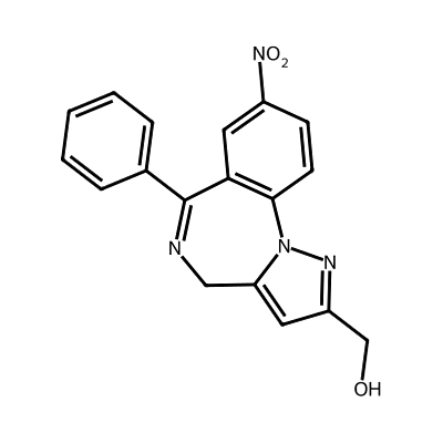 O=[N+]([O-])c1ccc2c(c1)C(c1ccccc1)=NCc1cc(CO)nn1-2